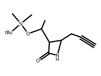 C#CCC1NC(=O)C1C(C)O[Si](C)(C)C(C)(C)C